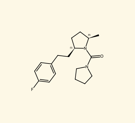 C[C@@H]1CC[C@H](CCc2ccc(F)cc2)N1C(=O)N1CCCC1